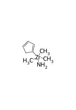 [CH3][Zr]([CH3])([CH3])([NH2])[C]1=CC=CC1